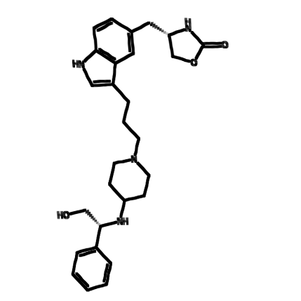 O=C1N[C@@H](Cc2ccc3[nH]cc(CCCN4CCC(N[C@@H](CO)c5ccccc5)CC4)c3c2)CO1